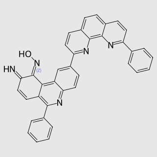 N=C1C=Cc2c(-c3ccccc3)nc3ccc(-c4ccc5ccc6ccc(-c7ccccc7)nc6c5n4)cc3c2/C1=N/O